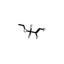 CCOC(F)(F)/C(F)=C/F